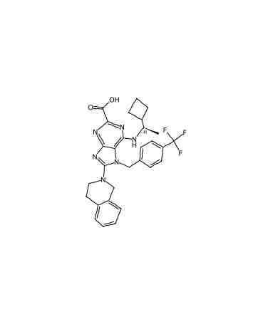 C[C@@H](Nc1nc(C(=O)O)nc2nc(N3CCc4ccccc4C3)n(Cc3ccc(C(F)(F)F)cc3)c12)C1CCC1